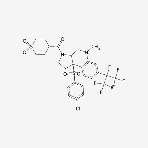 CN1CC2N(C(=O)C3CCS(=O)(=O)CC3)CCC2(S(=O)(=O)c2ccc(Cl)cc2)c2ccc(C(F)(C(F)(F)F)C(F)(F)F)cc21